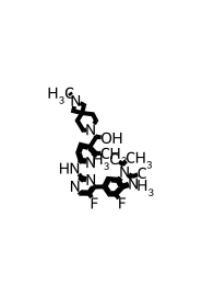 Cc1nc(Nc2ncc(F)c(-c3cc(F)c4nc(C)n(C(C)C)c4c3)n2)ccc1C(O)N1CCC2(CC1)CN(C)C2